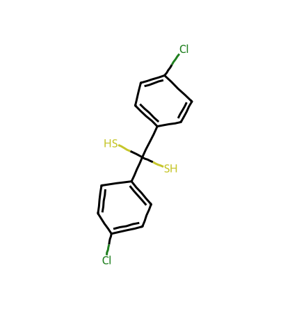 SC(S)(c1ccc(Cl)cc1)c1ccc(Cl)cc1